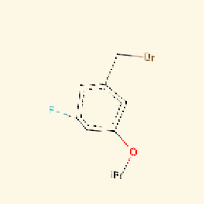 CC(C)Oc1cc(F)cc(CBr)c1